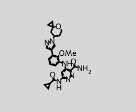 COc1c(Nc2cc(NC(=O)C3CC3)nnc2C(N)=O)cccc1-c1cnn(C2CCOC3(CC3)C2)c1